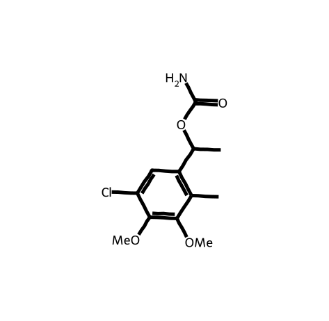 COc1c(Cl)cc(C(C)OC(N)=O)c(C)c1OC